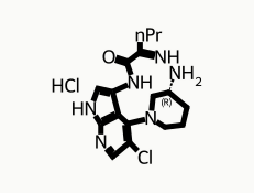 CCCC(=N)C(=O)Nc1c[nH]c2ncc(Cl)c(N3CCC[C@@H](N)C3)c12.Cl